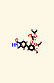 CCOc1c(OC)ccc(-c2ccc3c(c2)CNC3=O)c1OCC(=O)OC(C)C